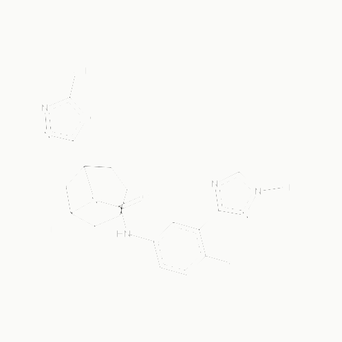 Cc1nnc([C@@]23C[C@H](C)CC[C@@H](C2)N3C(=O)Nc2ccc(Cl)c(-c3ncn(C)n3)c2)o1